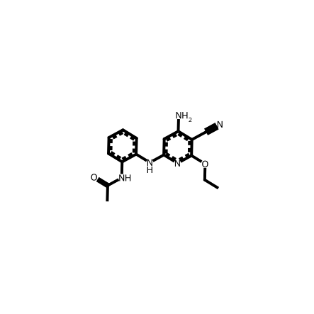 CCOc1nc(Nc2ccccc2NC(C)=O)cc(N)c1C#N